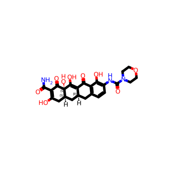 NC(=O)C1=C(O)C[C@@H]2C[C@@H]3Cc4ccc(NC(=O)N5CCOCC5)c(O)c4C(=O)C3=C(O)[C@]2(O)C1=O